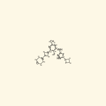 Cc1nc(Nc2cc(C3CCC3)[nH]n2)c(F)c(N2CC(N3CCOCC3)C2)n1